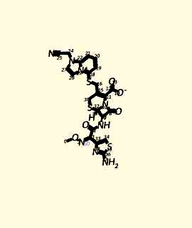 CO/N=C(\C(=O)N[C@@H]1C(=O)N2C(C(=O)[O-])=C(CSc3cccc4n(CC#N)cc[n+]34)CS[C@@H]12)c1csc(N)n1